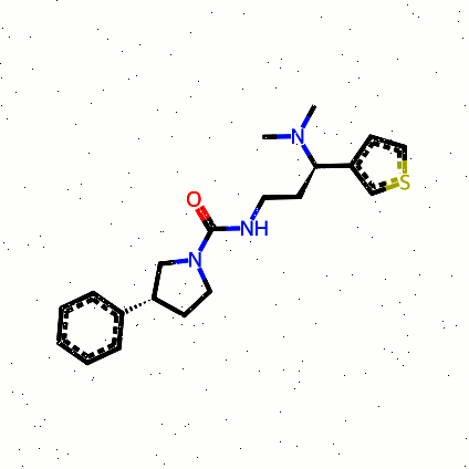 CN(C)[C@H](CCNC(=O)N1CC[C@H](c2ccccc2)C1)c1ccsc1